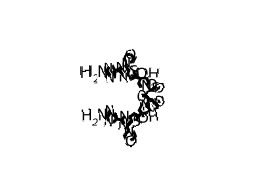 CS(=O)(=O)CC(C(=O)C(CS(C)(=O)=O)N1CCC(O)(c2cc3nc(-c4cnc(N)nc4)nc(N4CCOCC4)c3s2)CC1)N1CCC(O)(c2cc3nc(-c4cnc(N)nc4)nc(N4CCOCC4)c3s2)CC1